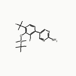 CC(C)(C)c1ccc(-c2cnc(N)nc2)c(F)c1O[Si](C)(C)C(C)(C)C